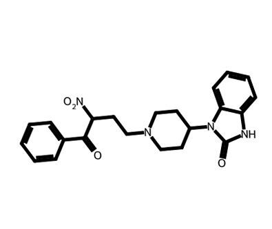 O=C(c1ccccc1)C(CCN1CCC(n2c(=O)[nH]c3ccccc32)CC1)[N+](=O)[O-]